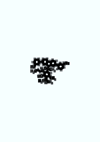 C=CCOc1c([Si](C)(C)C2c3cc(-c4cccc(C(C)CC)c4)ccc3-c3ccc(-c4cccc(C(C)CC)c4)cc32)cc(C)c([SiH](C)C)c1C(C)(C)C